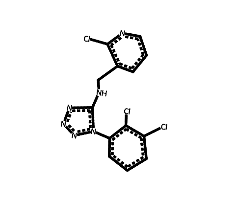 Clc1cccc(-n2nnnc2NCc2cccnc2Cl)c1Cl